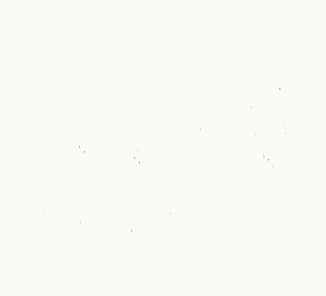 CN1C(=O)CCCc2ccc(C#CC(C)(N)C(F)(F)F)nc21